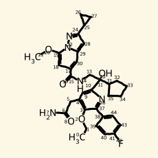 CCOc1c(CC(N)=O)cc([C@@](O)(CNC(=O)c2cc(OC)n3nc(C4CC4)cc3c2)C2CCCC2)nc1-c1ccc(F)cc1